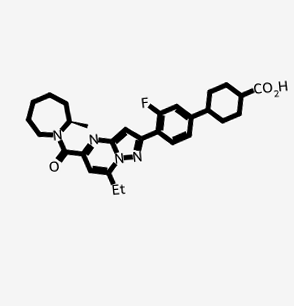 CCc1cc(C(=O)N2CCCCC[C@H]2C)nc2cc(-c3ccc(C4CCC(C(=O)O)CC4)cc3F)nn12